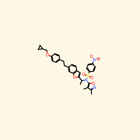 Cc1noc(N(C(C)c2cc3ccc(CCc4ccc(OCC5CC5)cc4)cc3o2)S(=O)(=O)c2ccc([N+](=O)[O-])cc2)c1C